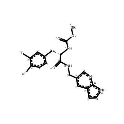 CC(C)(C)OC(=O)N[C@@H](Cc1ccc(F)c(F)c1)C(=O)NCc1cnc2[nH]ccc2c1